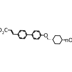 CCCCCCCC[C@H]1CC[C@H](COc2ccc(-c3ccc(/C=C/C(=O)O)cc3)cc2)CC1